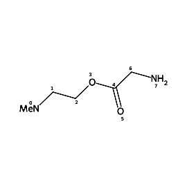 CNCCOC(=O)CN